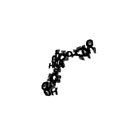 CC(=O)N1CCC(COc2cc(F)c3c(=O)[nH]c(CSC4CCN(CC(=O)O)CC4)nc3c2)CC1